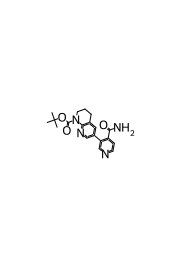 CC(C)(C)OC(=O)N1CCCc2cc(-c3cnccc3C(N)=O)cnc21